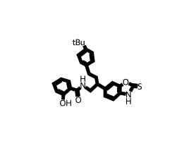 CC(C)(C)c1ccc(CCC(CNC(=O)c2ccccc2O)c2ccc3[nH]c(=S)oc3c2)cc1